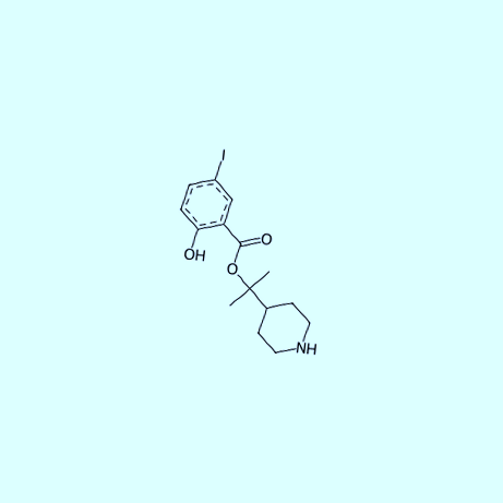 CC(C)(OC(=O)c1cc(I)ccc1O)C1CCNCC1